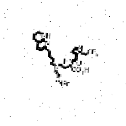 CC(C)OCCN(CCCCc1ccc2c(n1)NCCC2)CCC(NC(=O)c1ccnn1CC(F)(F)F)C(=O)O